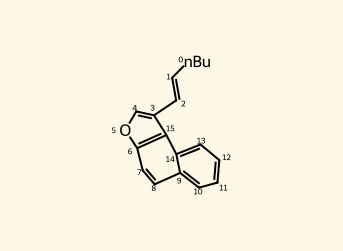 [CH2]CCCC=Cc1coc2ccc3ccccc3c12